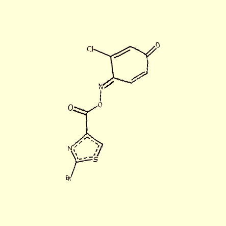 O=C1C=C/C(=N\OC(=O)c2csc(Br)n2)C(Cl)=C1